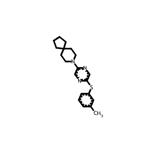 Cc1cccc(Sc2cnc(N3CCC4(CCCC4)CC3)cn2)c1